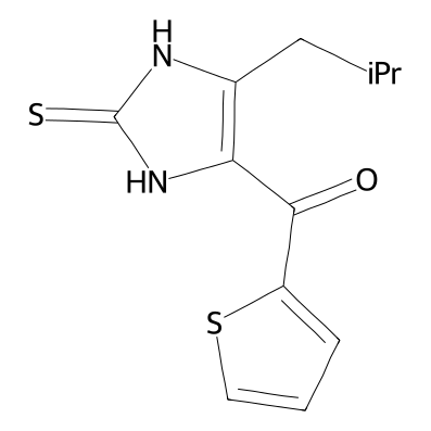 CC(C)Cc1[nH]c(=S)[nH]c1C(=O)c1cccs1